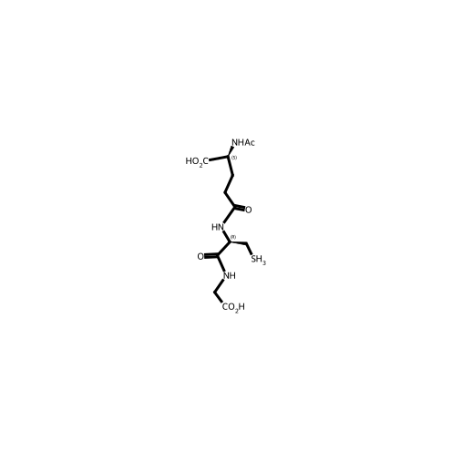 CC(=O)N[C@@H](CCC(=O)N[C@@H](C[SH3])C(=O)NCC(=O)O)C(=O)O